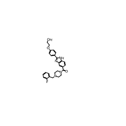 O=C(c1ccc2[nH]c(-c3ccc(OCCO)cc3)nc2c1)N1CCN(Cc2ccccc2F)CC1